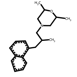 CC(Cc1cccc2ccccc12)CN1CC(C)OC(C)C1